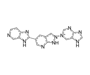 c1cc2nc(-c3cnc4[nH][n+](-[n+]5cnc6nc[nH]c6c5)cc4c3)[nH]c2cn1